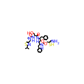 CC(C)c1nc(CN(C)C(=O)NC(CO)C(=O)NC(CCC(Cc2ccccc2)NC(=O)OC/C(S)=C/N)Cc2ccccc2)cs1